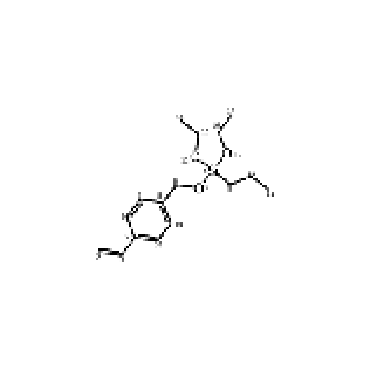 C=Cc1ccc(CO[Si](CCC)(OCC)OCC)cc1